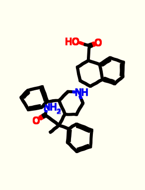 CC(C(N)=O)(c1ccccc1)C1CCNCC1c1ccccc1.O=C(O)C1CCCc2ccccc21